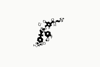 COc1cc(-n2c(C(C)(C)c3ccc(S(N)(=O)=O)c(Cl)c3)cnc2SCc2c(F)cc(C(=O)NCC[N+](C)(C)C)cc2Cl)ccc1F.[Cl-]